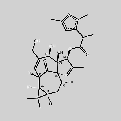 CC1=C[C@]23C(=O)[C@@H](C=C(CO)[C@@H](O)[C@]2(O)[C@H]1OC(=O)N(C)c1cc(C)nn1C)[C@H]1[C@@H](C[C@H]3C)C1(C)C